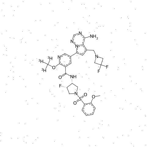 [2H]C([2H])([2H])Oc1ncc(-c2cc(CN3CC(F)(F)C3)c3c(N)ncnn23)cc1C(=O)N[C@@H]1CN(S(=O)(=O)c2ccccc2OC)C[C@@H]1F